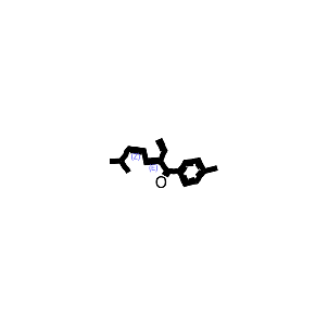 C=C/C(=C\C=C/C(C)C)C(=O)c1ccc(C)cc1